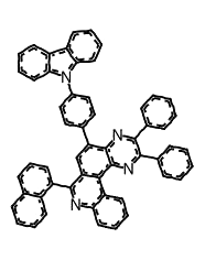 c1ccc(-c2nc3c(-c4ccc(-n5c6ccccc6c6ccccc65)cc4)cc4c(-c5cccc6ccccc56)nc5ccccc5c4c3nc2-c2ccccc2)cc1